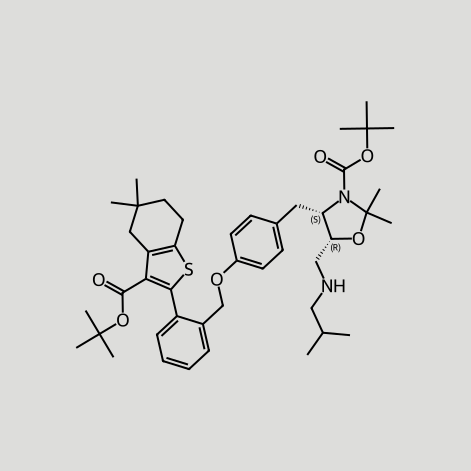 CC(C)CNC[C@H]1OC(C)(C)N(C(=O)OC(C)(C)C)[C@H]1Cc1ccc(OCc2ccccc2-c2sc3c(c2C(=O)OC(C)(C)C)CC(C)(C)CC3)cc1